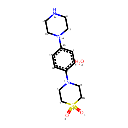 O.O=S1(=O)CCN(c2ccc(N3CCNCC3)cc2)CC1